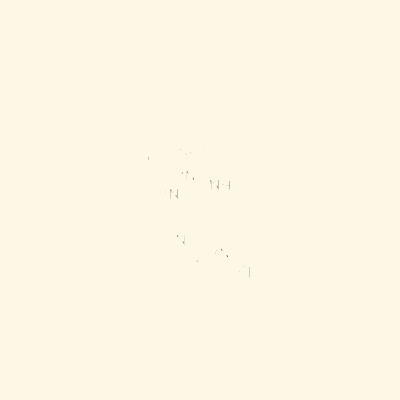 O=S(=O)(Cl)N1N=C2N=CN(Cl)C=C2N1